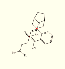 CCN(CC)CCC(=O)NC1CC2CCC(C1)N2c1ccc(C#N)c2ccccc12